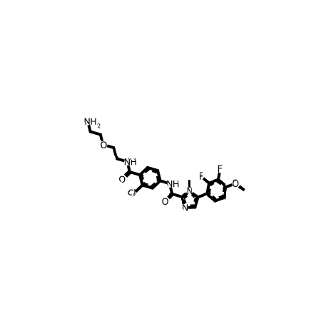 COc1ccc(-c2cnc(C(=O)Nc3ccc(C(=O)NCCOCCN)c(Cl)c3)n2C)c(F)c1F